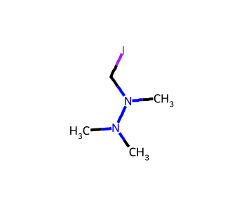 CN(C)N(C)CI